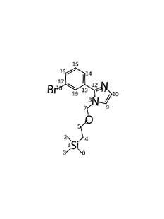 C[Si](C)(C)CCOCn1ccnc1-c1cccc(Br)c1